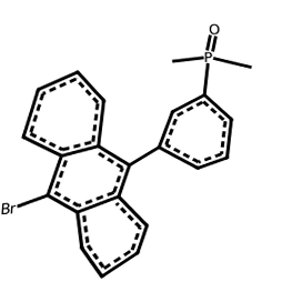 CP(C)(=O)c1cccc(-c2c3ccccc3c(Br)c3ccccc23)c1